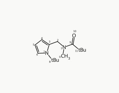 CN(Cc1cccn1C(C)(C)C)C(=O)C(C)(C)C